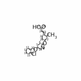 Cc1cc(Oc2ccc(OCc3ccccc3Cl)cn2)ccc1C=CC(=O)O